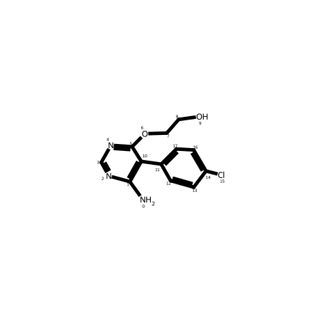 Nc1ncnc(OCCO)c1-c1ccc(Cl)cc1